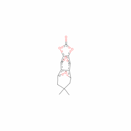 CC1(C)Cc2oc(c3c4oc(c5oc(=O)oc54)c23)C1